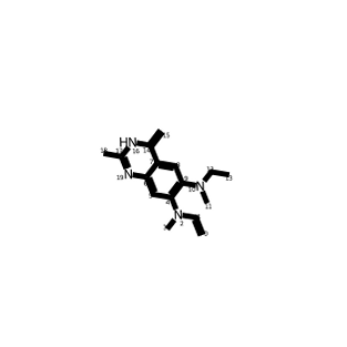 C=CN(C)c1cc2c(cc1N(C)CC)C(=C)NC(C)=N2